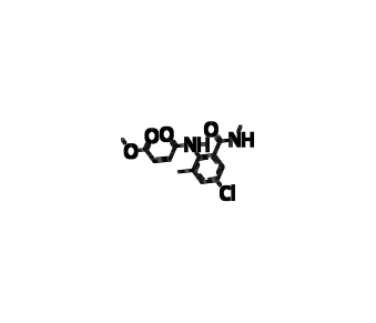 CNC(=O)c1cc(Cl)cc(C)c1NC(=O)/C=C\C(=O)OC